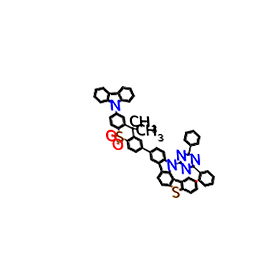 CC1(C)c2cc(-c3ccc4c(c3)c3ccc5sc6ccccc6c5c3n4-c3nc(-c4ccccc4)nc(-c4ccccc4)n3)ccc2S(=O)(=O)c2ccc(-n3c4ccccc4c4ccccc43)cc21